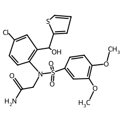 COc1ccc(S(=O)(=O)N(CC(N)=O)c2ccc(Cl)cc2C(O)c2cccs2)cc1OC